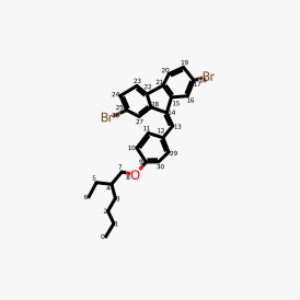 CCCCC(CC)COc1ccc(C=C2c3cc(Br)ccc3-c3ccc(Br)cc32)cc1